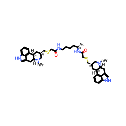 CCCN1C[C@H](CSCC(=O)NCCCC[C@H](NC(=O)CSC[C@@H]2C[C@@H]3c4cccc5[nH]cc(c45)C[C@H]3N(CCC)C2)C(C)=O)C[C@@H]2c3cccc4[nH]cc(c34)C[C@H]21